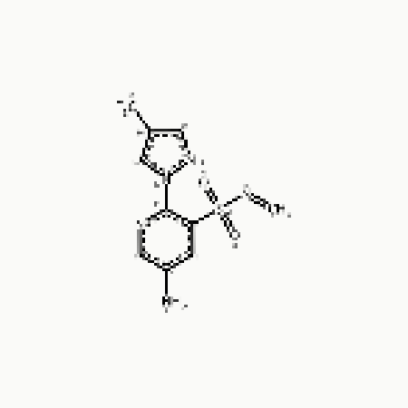 C=NS(=O)(=O)c1cc(N)cnc1-n1cc(C(F)(F)F)cn1